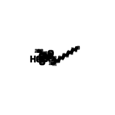 CCCCCCCCCCC(CC)COC(=O)C(CCCC)OS(=O)(=O)O